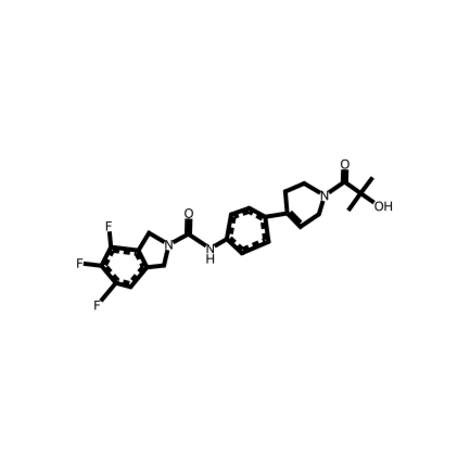 CC(C)(O)C(=O)N1CC=C(c2ccc(NC(=O)N3Cc4cc(F)c(F)c(F)c4C3)cc2)CC1